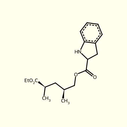 CCOC(=O)[C@H](C)C[C@H](C)COC(=O)C1Cc2ccccc2N1